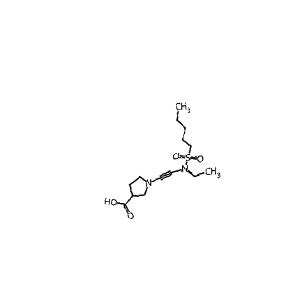 CCCCCS(=O)(=O)N(C#CN1CCC(C(=O)O)C1)CC